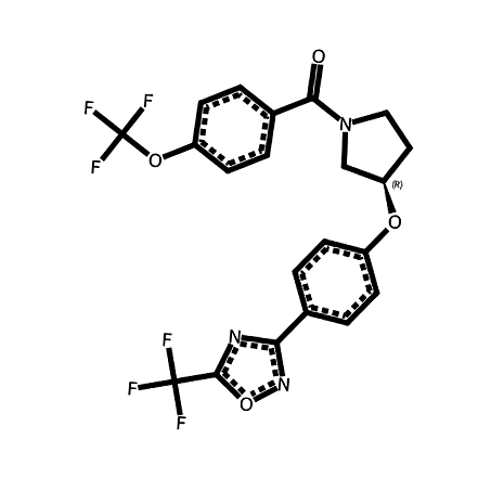 O=C(c1ccc(OC(F)(F)F)cc1)N1CC[C@@H](Oc2ccc(-c3noc(C(F)(F)F)n3)cc2)C1